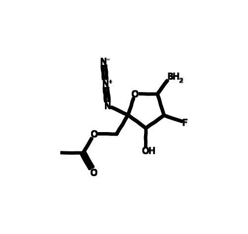 BC1OC(COC(C)=O)(N=[N+]=[N-])C(O)C1F